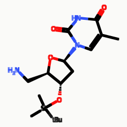 Cc1cn([C@H]2C[C@H](O[Si](C)(C)C(C)(C)C)[C@@H](CN)O2)c(=O)[nH]c1=O